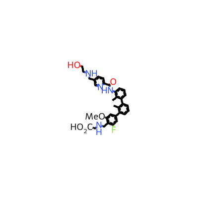 COc1cc(-c2cccc(-c3cccc(NC(=O)c4ccc(CNCCO)cn4)c3C)c2C)cc(F)c1CNCC(=O)O